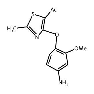 COc1cc(N)ccc1Oc1nc(C)sc1C(C)=O